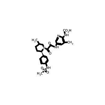 Cc1cc(NC(=O)C(=O)N2CC(C)CC[C@@H]2c2ccc(NS(C)(=O)=O)cc2)cnc1NC(=O)O